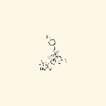 CCC(=O)CN([C@H]1CCN([C@@H](CC(C)(C)C)C(=O)O)C1=O)S(=O)(=O)C=Cc1ccc(Cl)cc1